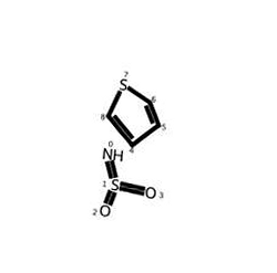 N=S(=O)=O.c1ccsc1